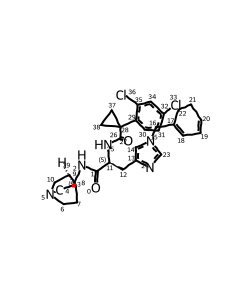 O=C(N[C@@H]1CN2CCC1CC2)[C@H](Cc1cn(CC2=CC=CCC2)cn1)NC(=O)C1(c2ccc(Cl)cc2Cl)CC1